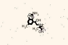 Cc1cc(C)c(OC(N)=O)c(C(O)CNC(C)(C)CO)c1